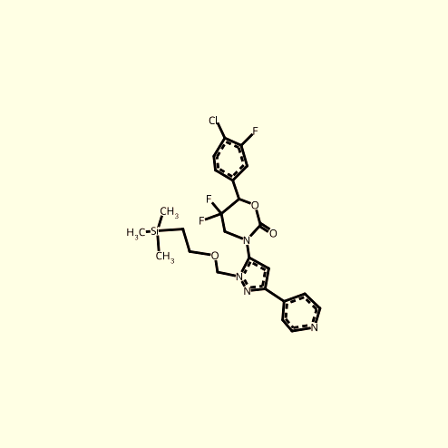 C[Si](C)(C)CCOCn1nc(-c2ccncc2)cc1N1CC(F)(F)C(c2ccc(Cl)c(F)c2)OC1=O